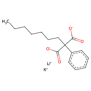 CCCCCCCC(C(=O)[O-])(C(=O)[O-])c1ccccc1.[K+].[Li+]